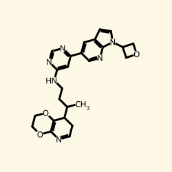 CC(CCNc1cc(-c2cnc3c(ccn3C3COC3)c2)ncn1)C1CC=NC2=C1OCCO2